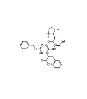 CC1CCC(C)(C)C1OC(=O)[C@@H](CO)NC(=O)[C@@H](NC(=O)OCc1ccccc1)C(Cc1ccccc1)C(=O)O